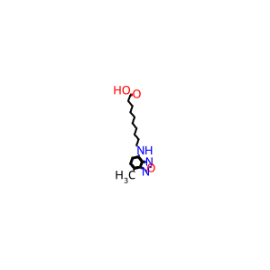 Cc1ccc(NCCCCCCCCCC(=O)O)c2nonc12